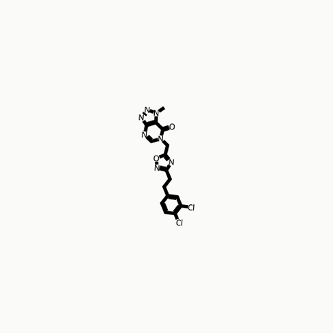 Cn1nnc2ncn(Cc3nc(CCc4ccc(Cl)c(Cl)c4)no3)c(=O)c21